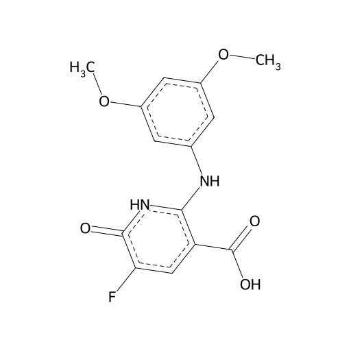 COc1cc(Nc2[nH]c(=O)c(F)cc2C(=O)O)cc(OC)c1